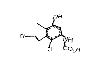 Cc1c(O)cc(NC(=O)O)c(Cl)c1CCCl